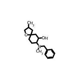 CC1COC2(CCC(N(C)Cc3ccccc3)C(O)C2)C1